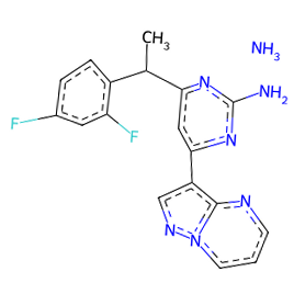 CC(c1cc(-c2cnn3cccnc23)nc(N)n1)c1ccc(F)cc1F.N